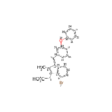 CC1=C(CC(=O)O)c2c(Br)cccc2/C1=C\c1cccc(Oc2ccccc2)c1